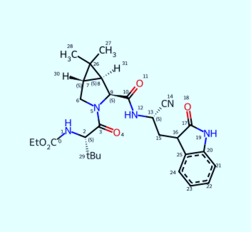 CCOC(=O)N[C@H](C(=O)N1C[C@H]2[C@H]([C@H]1C(=O)N[C@H](C#N)CC1C(=O)Nc3ccccc31)C2(C)C)C(C)(C)C